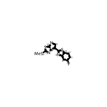 CSc1nn2c(-c3nc4cc(F)ccc4s3)cnc2s1